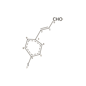 O=[C]C=Cc1ccc(I)cc1